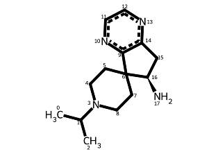 CC(C)N1CCC2(CC1)c1nccnc1C[C@H]2N